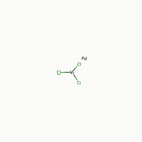 [Cl][In]([Cl])[Cl].[Pd]